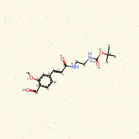 COc1cc(/C=C/C(=O)NCCNC(=O)OC(C)(C)C)ccc1C=O